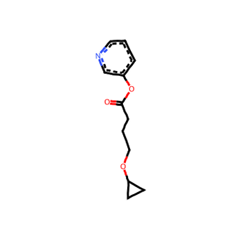 O=C(CCCOC1CC1)Oc1cccnc1